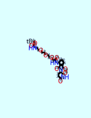 CC(C)(C)OC(=O)NCCOCCOCCOCC(=O)Nc1cccc2c1C(=O)N(C1CCC(=O)NC1=O)C2=O